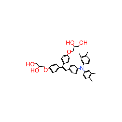 Cc1ccc(N(c2ccc(C=C(c3ccc(OCC(O)CO)cc3)c3ccc(OCC(O)CO)cc3)cc2)c2ccc(C)c(C)c2)cc1C